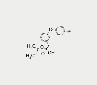 CCC(C)OP(=O)(O)Cc1cccc(Oc2ccc(F)cc2)c1